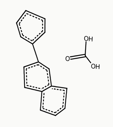 O=C(O)O.c1ccc(-c2ccc3ccccc3c2)cc1